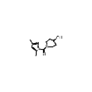 Cc1cc(C)n(C(=O)N2CCC(O)CC2)n1